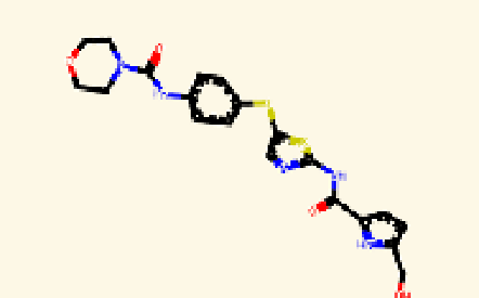 O=C(Nc1ncc(Sc2ccc(NC(=O)N3CCOCC3)cc2)s1)c1ccc(CO)[nH]1